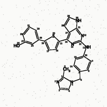 Cc1nccn1Cc1ccc(Nc2nc(-c3ccc(-c4cccc(O)c4)s3)c3cc[nH]c3n2)cc1